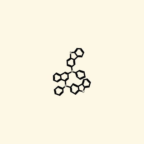 c1ccc(N(c2cc(N(c3ccccc3)c3ccc4oc5ccccc5c4c3)c3ccccc3c2)c2ccc3sc4ccccc4c3c2)cc1